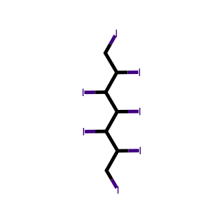 ICC(I)C(I)C(I)C(I)C(I)CI